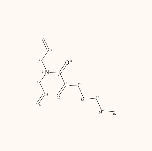 C=CCN(CC=C)C(=O)C(=C)CCCCC